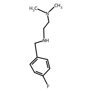 CN(C)CCNCc1ccc(F)cc1